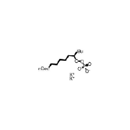 CCCCCCCCCCCCCCCC(OOP(=O)([O-])[O-])C(C)CC.[K+].[K+]